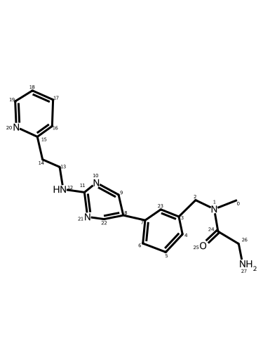 CN(Cc1cccc(-c2cnc(NCCc3ccccn3)nc2)c1)C(=O)CN